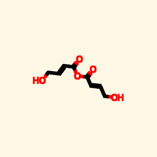 O=C(C=CCO)OC(=O)C=CCO